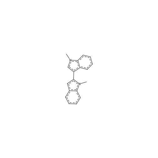 Cn1cc(-c2cc3ccccc3n2C)c2ccccc21